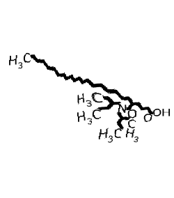 CCCCCCCCCCCCCCCCCCCCC(CCCC(=O)O)C(=O)N(CC(CC)CCC)CC(CC)CCC